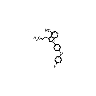 C=CCc1cn(-c2ccc(Oc3ccc(F)cc3)cc2)c2cccc(C#N)c12